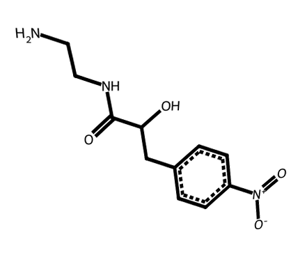 NCCNC(=O)C(O)Cc1ccc([N+](=O)[O-])cc1